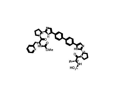 COC(=O)N[C@@H](Cc1ccccn1)C(=O)N1CCC[C@H]1c1ncc(-c2ccc(-c3ccc(-c4cnc([C@@H]5CCCN5C(=O)[C@@H](NC(=O)O)C(C)C)[nH]4)cc3)cc2)[nH]1